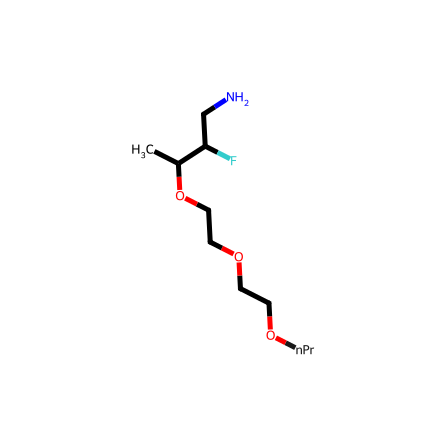 CCCOCCOCCOC(C)C(F)CN